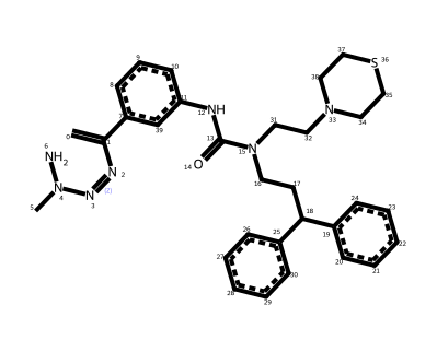 C=C(/N=N\N(C)N)c1cccc(NC(=O)N(CCC(c2ccccc2)c2ccccc2)CCN2CCSCC2)c1